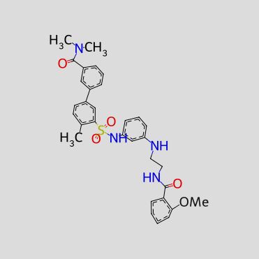 COc1ccccc1C(=O)NCCNc1cccc(NS(=O)(=O)c2cc(-c3cccc(C(=O)N(C)C)c3)ccc2C)c1